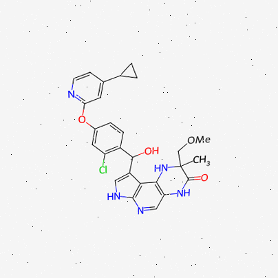 COCC1(C)Nc2c(cnc3[nH]cc(C(O)c4ccc(Oc5cc(C6CC6)ccn5)cc4Cl)c23)NC1=O